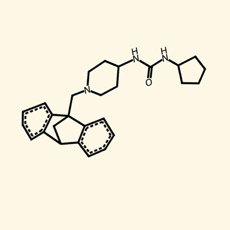 O=C(NC1CCCC1)NC1CCN(CC23CC(c4ccccc42)c2ccccc23)CC1